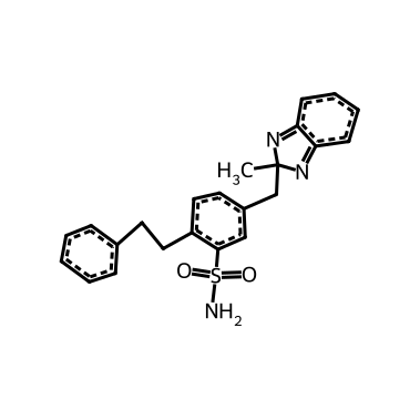 CC1(Cc2ccc(CCc3ccccc3)c(S(N)(=O)=O)c2)N=c2ccccc2=N1